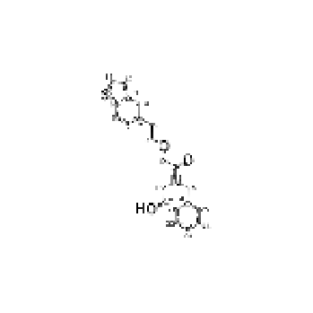 O=C(COCCc1ccc2sccc2c1)N(CCO)Cc1ccccc1